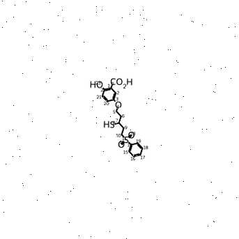 O=C(O)c1cc(OCCC(S)CCS(=O)(=O)c2ccccc2)ccc1O